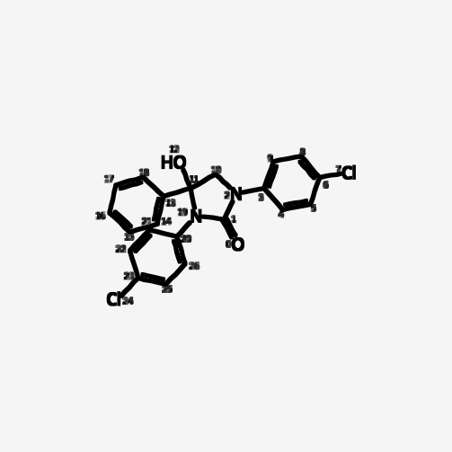 O=C1N(c2ccc(Cl)cc2)CC(O)(c2ccccc2)N1c1ccc(Cl)cc1